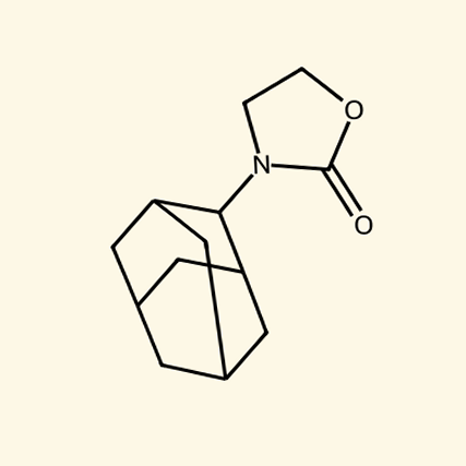 O=C1OCCN1C1C2CC3CC(C2)CC1C3